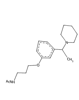 CC(=O)NCCCOc1cccc(C(C)N2CCCCC2)c1